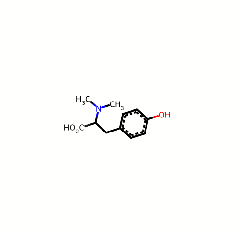 CN(C)C(Cc1ccc(O)cc1)C(=O)O